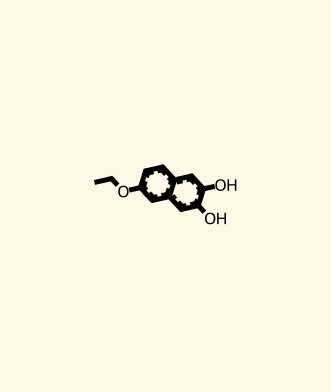 CCOc1ccc2cc(O)c(O)cc2c1